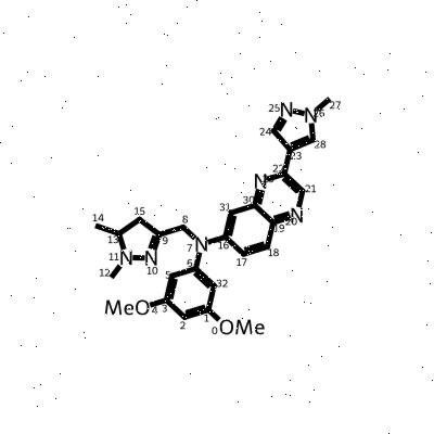 COc1cc(OC)cc(N(CC2=NN(C)C(C)C2)c2ccc3ncc(-c4cnn(C)c4)nc3c2)c1